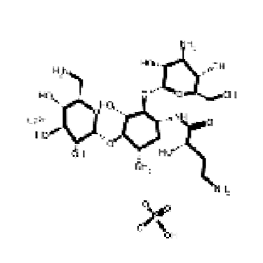 NCC[C@H](O)C(=O)N[C@@H]1C[C@H](N)[C@@H](O[C@H]2O[C@H](CN)[C@@H](O)[C@H](O)[C@H]2O)[C@H](O)[C@H]1O[C@H]1O[C@H](CO)[C@@H](O)[C@H](N)[C@H]1O.O=P([O-])([O-])O.[Ca+2]